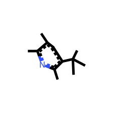 Cc1cc(C(C)(C)C)c(C)nc1C